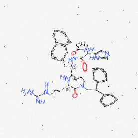 CC(=O)NC(C(=O)N[C@@H](Cc1ccc2ccccc2c1)[C@H]1CCN(CC(c2ccccc2)c2ccccc2)C(=O)[C@H](CCCNC(=N)N)N1)c1cnc[nH]1